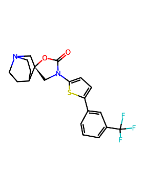 O=C1O[C@]2(CN3CCC2CC3)CN1c1ccc(-c2cccc(C(F)(F)F)c2)s1